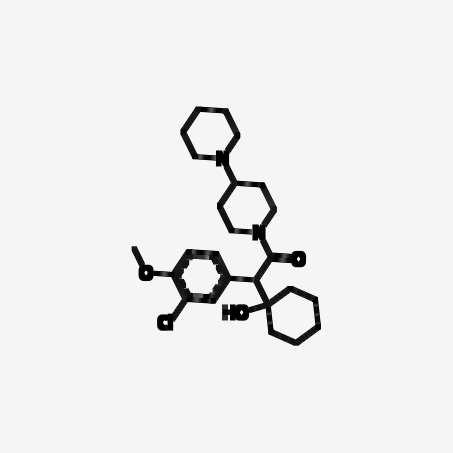 COc1ccc(C(C(=O)N2CCC(N3CCCCC3)CC2)C2(O)CCCCC2)cc1Cl